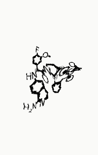 COc1cc([C@@H](Nc2ccc3c(N)nccc3c2)C(=O)N2CC[C@@H](C3OC(C)O3)[C@H]2c2ccccc2S(=O)(=O)C2CC2)ccc1F